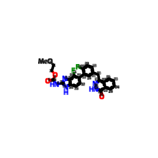 COCCOC(=O)Nc1nc2c(F)c(-c3cc(Cc4n[nH]c(=O)c5ccccc45)ccc3F)ccc2[nH]1